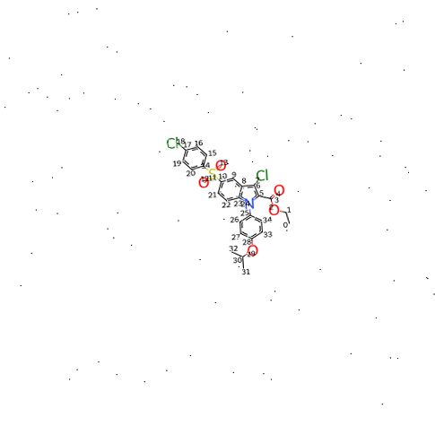 CCOC(=O)c1c(Cl)c2cc(S(=O)(=O)c3ccc(Cl)cc3)ccc2n1-c1ccc(OC(C)C)cc1